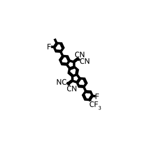 Cc1ccc(-c2ccc3c(c2)C(=C(C#N)C#N)c2cc4c(cc2-3)C(=C(C#N)C#N)c2cc(-c3ccc(C(F)(F)F)c(F)c3)ccc2-4)cc1F